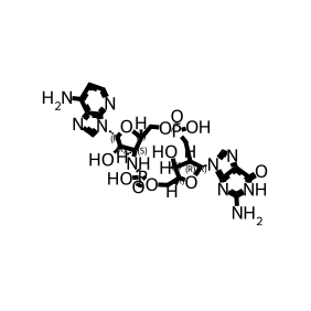 Nc1nc2c(ncn2[C@@H]2O[C@@H]3COP(=O)(O)N[C@H]4[C@@H](O)[C@H](n5cnc6c(N)ccnc65)O[C@@H]4COP(=O)(O)C[C@@H]2[C@@H]3O)c(=O)[nH]1